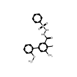 COc1ccccc1-c1cc(C)c(F)c(C(=O)NNS(=O)(=O)c2ccccc2)c1